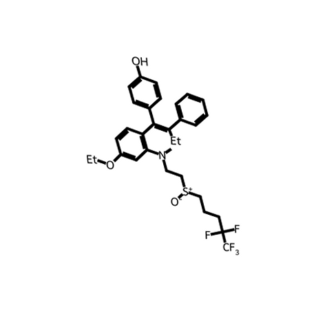 CCOc1ccc(C(=C(CC)c2ccccc2)c2ccc(O)cc2)c(N(C)CC[S+]([O-])CCCC(F)(F)C(F)(F)F)c1